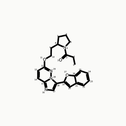 CCC(=O)N1CCCC1CCOc1ccc2ncc(-c3cc4ccccc4o3)n2n1